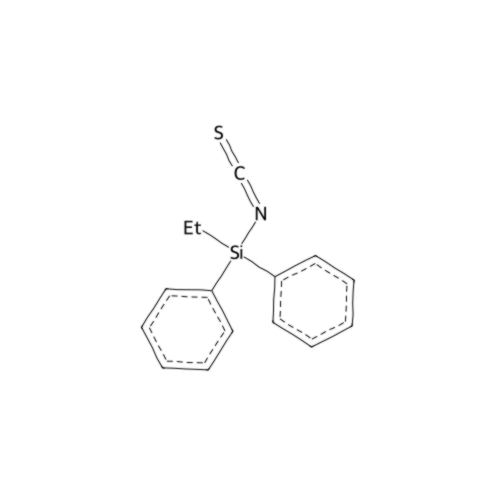 CC[Si](N=C=S)(c1ccccc1)c1ccccc1